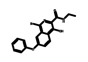 CCNC(=O)c1nc(Br)c2cc(Oc3ccccc3)ccc2c1O